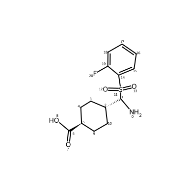 NC([C@H]1CC[C@H](C(=O)O)CC1)S(=O)(=O)c1ccccc1F